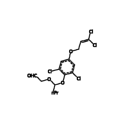 CCCC(OCC=O)Oc1c(Cl)cc(OCC=C(Cl)Cl)cc1Cl